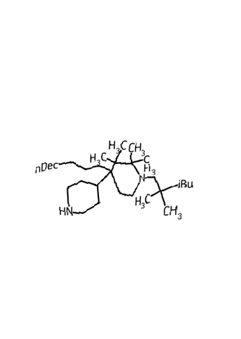 CCCCCCCCCCCCCC1(C2CCNCC2)CCN(CC(C)(C)C(C)CC)C(C)(C)C1(C)C